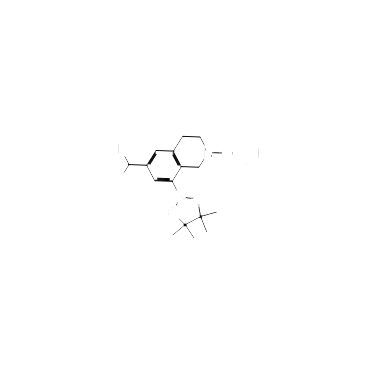 CC1(C)OB(c2cc(C(F)F)cc3c2CN(C(=O)O)CC3)OC1(C)C